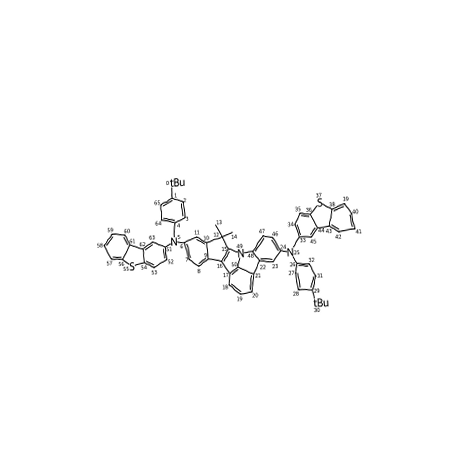 CC(C)(C)c1ccc(N(c2ccc3c(c2)C(C)(C)c2c-3c3cccc4c5cc(N(c6ccc(C(C)(C)C)cc6)c6ccc7sc8ccccc8c7c6)ccc5n2c34)c2ccc3sc4ccccc4c3c2)cc1